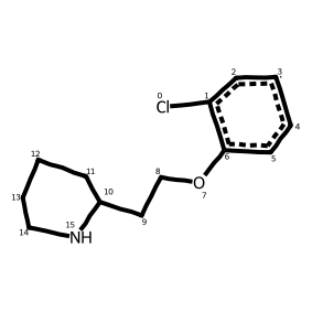 Clc1c[c]ccc1OCCC1CCCCN1